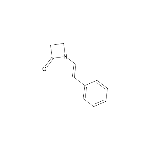 O=C1CCN1/C=C/c1ccccc1